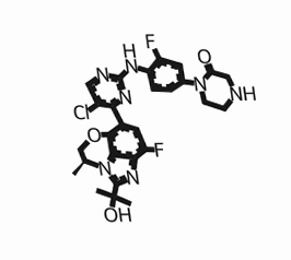 C[C@H]1COc2c(-c3nc(Nc4ccc(N5CCNCC5=O)cc4F)ncc3Cl)cc(F)c3nc(C(C)(C)O)n1c23